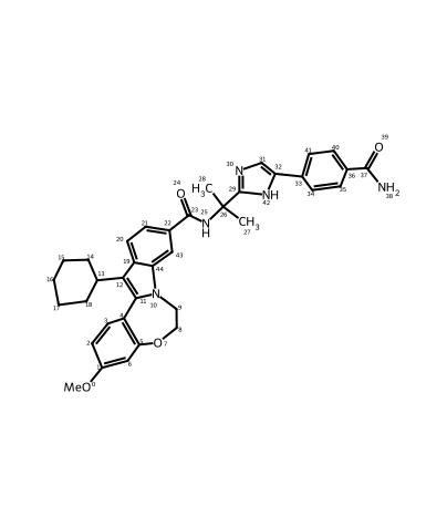 COc1ccc2c(c1)OCCn1c-2c(C2CCCCC2)c2ccc(C(=O)NC(C)(C)c3ncc(-c4ccc(C(N)=O)cc4)[nH]3)cc21